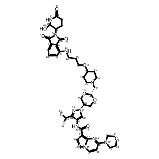 O=C1CCC(N2C(=O)c3cccc(NCCCOC4CCN(C[C@H]5OC[C@H](n6cc(NC(=O)c7cnn8ccc(N9CCOCC9)nc78)c(C(F)F)n6)CO5)CC4)c3C2=O)C(O)N1